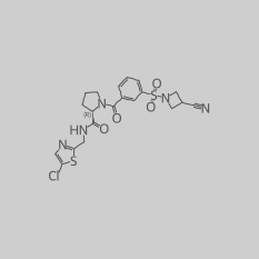 N#CC1CN(S(=O)(=O)c2cccc(C(=O)N3CCC[C@@H]3C(=O)NCc3ncc(Cl)s3)c2)C1